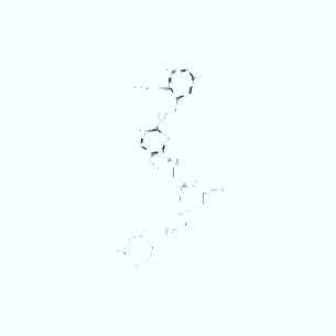 CCCCC1C[C@@H](CNC[C@H]2CC[C@@](C)(O)CC2)C[C@H](CNc2nc(NCc3cccnc3OC)ncc2C#N)C1